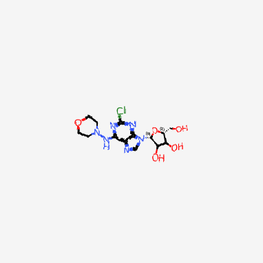 OC[C@H]1O[C@@H](n2cnc3c(NN4CCOCC4)nc(Cl)nc32)C(O)C1O